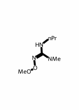 CCCN/C(=N/OOC)NC